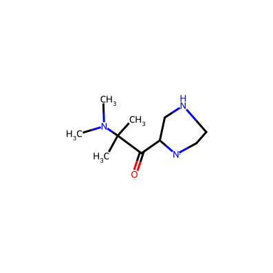 CN(C)C(C)(C)C(=O)C1CNCC[N]1